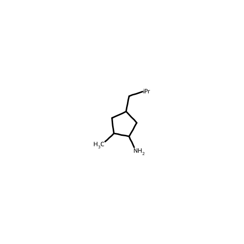 CC(C)CC1CC(C)C(N)C1